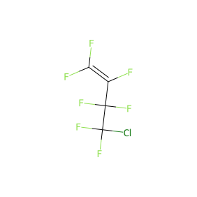 FC(F)=C(F)C(F)(F)C(F)(F)Cl